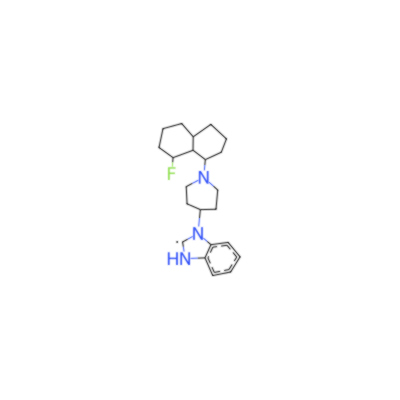 FC1CCCC2CCCC(N3CCC(N4[CH]Nc5ccccc54)CC3)C12